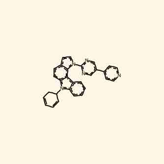 C1=CCC(n2c3ccccc3c3c4c(ccc32)ccn4-c2ncc(-c3ccncc3)cn2)C=C1